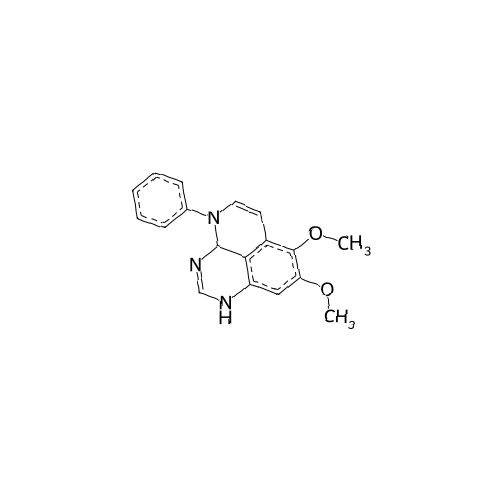 COc1cc2c3c(c1OC)C=CN(c1ccccc1)C3N=CN2